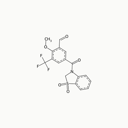 COc1c(C=O)cc(C(=O)N2CS(=O)(=O)c3ccccc32)cc1C(F)(F)F